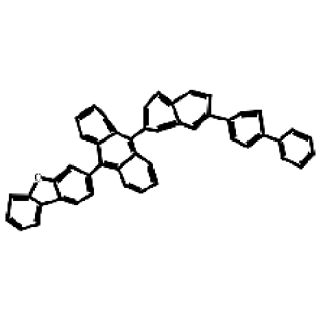 c1ccc(-c2ccc(-c3ccc4ccc(-c5c6ccccc6c(-c6ccc7c(c6)oc6ccccc67)c6ccccc56)cc4c3)cc2)cc1